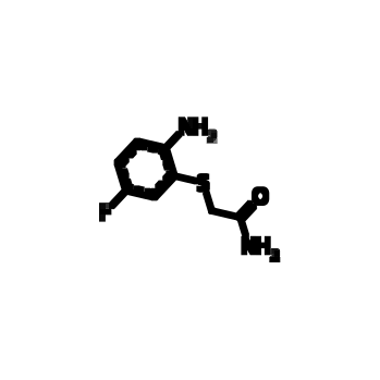 NC(=O)CSc1cc(F)ccc1N